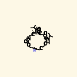 CC(C)N[C@]1(C)CCCCC/C=C/COC(=O)N(C)CC[C@@](C)(C(=O)C(C)C)NCC1=O